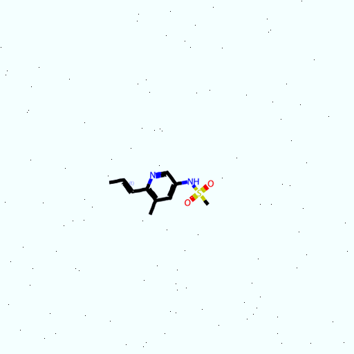 C/C=C/c1ncc(NS(C)(=O)=O)cc1C